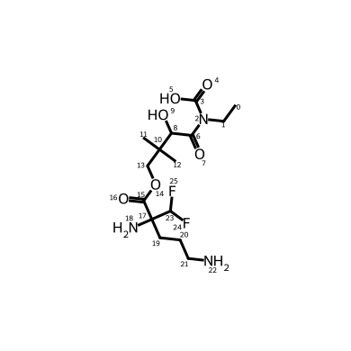 CCN(C(=O)O)C(=O)C(O)C(C)(C)COC(=O)C(N)(CCCN)C(F)F